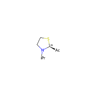 CC(=O)[C@@H]1SCCN1C(C)C